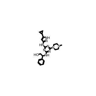 CN1CCN(c2nc(Nc3cc(C4CC4)[nH]n3)nc(NC(CO)c3ccccc3)n2)CC1